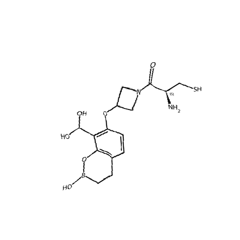 N[C@H](CS)C(=O)N1CC(Oc2ccc3c(c2C(O)O)OB(O)CC3)C1